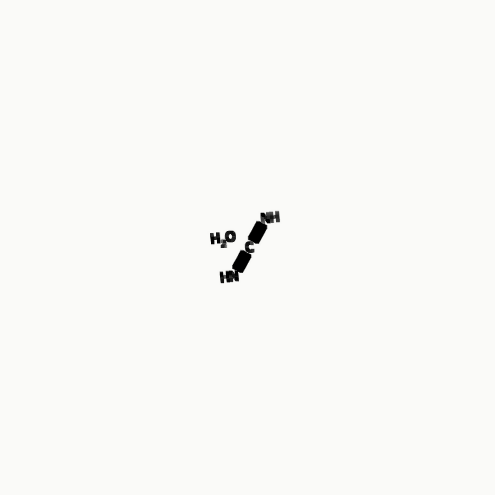 N=C=N.O